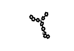 c1ccc(-c2ccc(N(c3ccc(-c4ccc(-c5cc6c(ccc7ccccc76)o5)cc4)cc3)c3ccc(-c4ccc5ccccc5c4)cc3)cc2)cc1